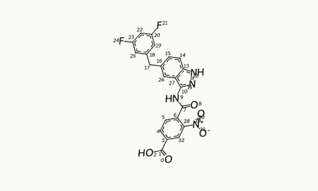 O=C(O)c1ccc(C(=O)Nc2n[nH]c3ccc(Cc4cc(F)cc(F)c4)cc23)c([N+](=O)[O-])c1